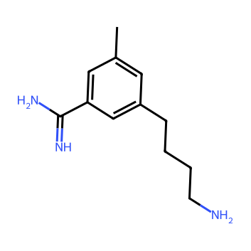 Cc1cc(CCCCN)cc(C(=N)N)c1